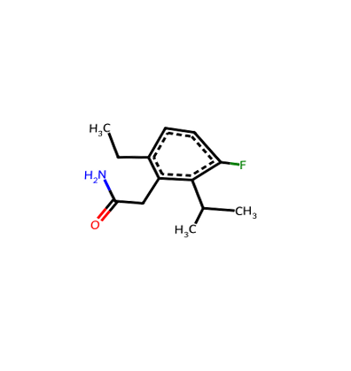 CCc1ccc(F)c(C(C)C)c1CC(N)=O